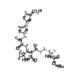 C[C@@H](CCC(=O)C1=C(CC(=O)N(C)Cc2nc(-c3nc(C(=O)O)cs3)cs2)C2(CC2)NC1=O)NC(=O)OC(C)(C)C